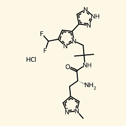 Cl.Cn1cc(C[C@@H](N)C(=O)NC(C)(C)Cn2nc(C(F)F)cc2-c2cn[nH]n2)cn1